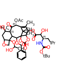 CC(=O)O[C@H]1C(=O)[C@]2(C)C(O)CC3OCC3(OC(C)O)C2C(OC(O)c2ccccc2)C23OC(=O)OC2C(OC(=O)C(O)[C@@H](CC(C)C)NC(=O)OC(C)(C)C)C(C)=C1C3(C)C